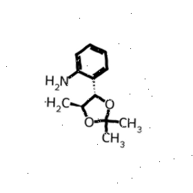 [CH2][C@@H]1OC(C)(C)O[C@H]1c1ccccc1N